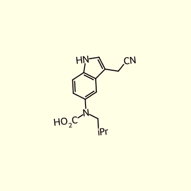 CC(C)CN(C(=O)O)c1ccc2[nH]cc(CC#N)c2c1